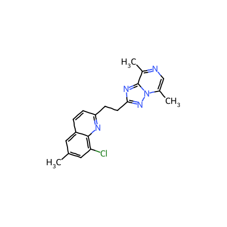 Cc1cc(Cl)c2nc(CCc3nc4c(C)ncc(C)n4n3)ccc2c1